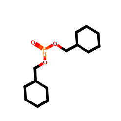 O=[PH](OCC1CCCCC1)OCC1CCCCC1